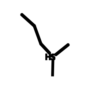 CCC[SH](C)C